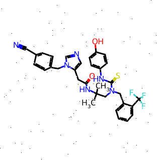 CC(C)(CN(Cc1ccccc1C(F)(F)F)C(=S)Nc1ccc(O)cc1)NC(=O)Cc1cncn1Cc1ccc(C#N)cc1